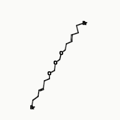 BrCC/C=C/CCOCOCOCC/C=C/CCBr